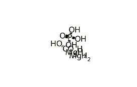 O=C(O)O.O=P(O)(O)O.[MgH2].[MgH2]